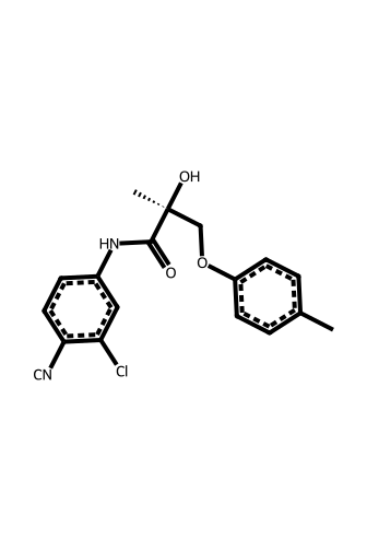 Cc1ccc(OC[C@](C)(O)C(=O)Nc2ccc([15N+]#[13C-])c(Cl)c2)cc1